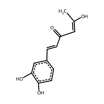 C/C(O)=C\C(=O)/C=C/c1ccc(O)c(O)c1